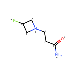 NC(=O)[CH]CN1CC(F)C1